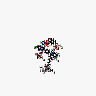 CC(=O)OCCn1c(-c2ccc(-c3c(C[C@@H]4CCCN4C(=O)OC(C)(C)C)c4ccc(F)cc4n3CCOC(C)=O)cc2)c(C[C@@H](C)CCCCC(=O)OC(C)(C)C)c2ccc(F)cc21